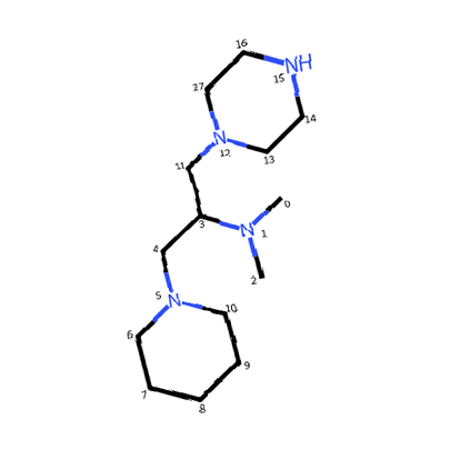 CN(C)[C](CN1CCCCC1)CN1CCNCC1